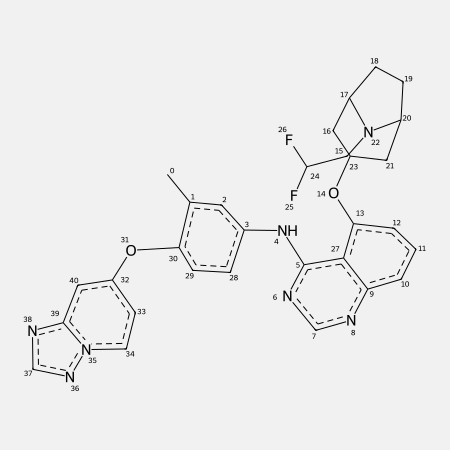 Cc1cc(Nc2ncnc3cccc(OC4CC5CCC(C4)N5CC(F)F)c23)ccc1Oc1ccn2ncnc2c1